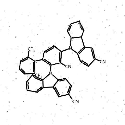 N#Cc1ccc2c(c1)C1C=CC=CC1N2c1ccc(-c2c(C(F)(F)F)cccc2C(F)(F)F)c(-n2c3ccccc3c3cc(C#N)ccc32)c1C#N